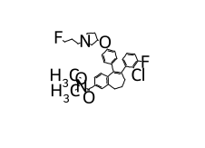 CON(C)C(=O)c1ccc2c(c1)CCCC(c1cccc(F)c1Cl)=C2c1ccc(O[C@H]2CCN(CCCF)C2)cc1